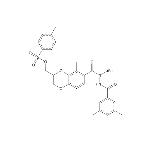 Cc1ccc(S(=O)(=O)OCC2COc3ccc(C(=O)N(NC(=O)c4cc(C)cc(C)c4)C(C)(C)C)c(C)c3O2)cc1